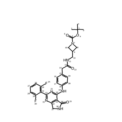 CC(C)(C)OC(=O)N1CC(CNC(=O)Cc2ccc(Nc3nc(-c4c(F)cccc4F)nc4c3C(=O)NC4)cc2)C1